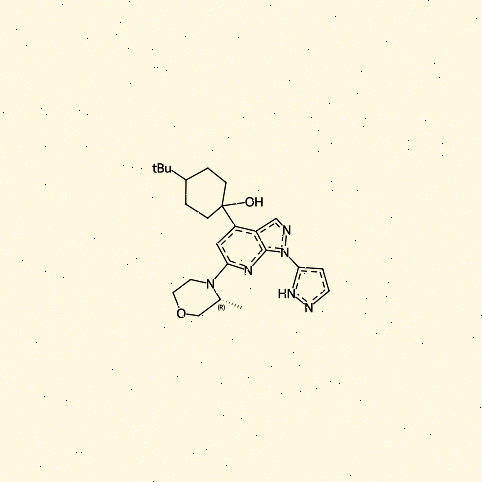 C[C@@H]1COCCN1c1cc(C2(O)CCC(C(C)(C)C)CC2)c2cnn(-c3ccn[nH]3)c2n1